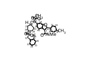 CNC(=O)c1c(-c2ccc(C)cc2)oc2cc(N(C)S(C)(=O)=O)c([C@H]3CCCN(S(=O)(=O)Cc4ccccc4F)C3)cc12